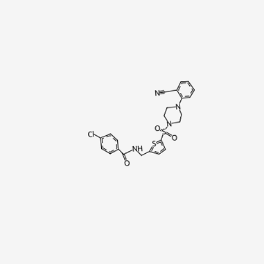 N#Cc1ccccc1N1CCN(S(=O)(=O)c2ccc(CNC(=O)c3ccc(Cl)cc3)s2)CC1